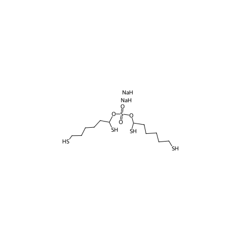 O=S(=O)(OC(S)CCCCCS)OC(S)CCCCCS.[NaH].[NaH]